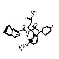 COC(=O)CCC1(NC(=O)c2cc3ccccc3cn2)C(=O)N(c2ccc(F)cc2)c2ccc(OC)cc21